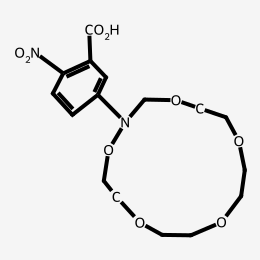 O=C(O)c1cc(N2COCCOCCOCCOCCO2)ccc1[N+](=O)[O-]